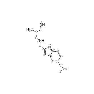 C/C(C=N)=C/NCc1cn2cc(C3CC3)ccc2n1